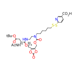 CC(=O)N[C@@H](CC(=O)OC(C)(C)C)C(=O)NCCN(CCCCCCSSc1ccc(C(=O)O)cn1)C(=O)OCc1oc(=O)oc1C